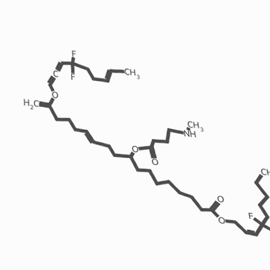 C=C(CCC/C=C/CCC(CCCCCCCC(=O)OC/C=C\C(F)(F)CCCCC)OC(=O)CCCNC)OC=C=CC(F)(F)CC/C=C/C